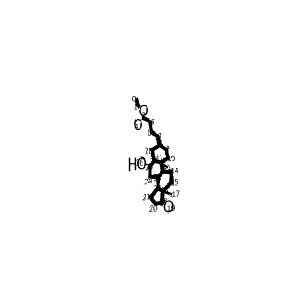 CCOC(=O)CC/C=C1/CC[C@]2(C)C3CC[C@]4(C)C(=O)CCC4C3C[C@H](O)C2C1